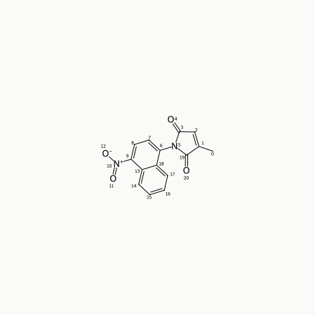 CC1=CC(=O)N(c2ccc([N+](=O)[O-])c3ccccc23)C1=O